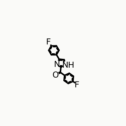 O=C(c1ccc(F)cc1)c1nc(-c2ccc(F)cc2)c[nH]1